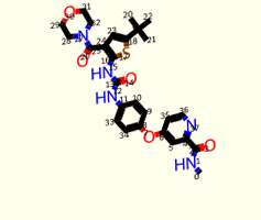 CNC(=O)c1cc(Oc2ccc(NC(=O)Nc3sc(C(C)(C)C)cc3C(=O)N3CCOCC3)cc2)ccn1